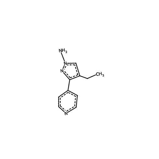 CCc1cn(N)nc1-c1ccncc1